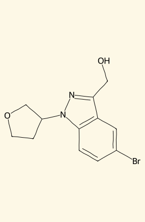 OCc1nn(C2CCOC2)c2ccc(Br)cc12